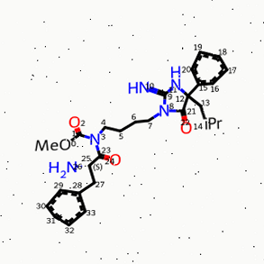 COC(=O)N(CCCCN1C(=N)NC(CC(C)C)(c2ccccc2)C1=O)C(=O)[C@@H](N)Cc1ccccc1